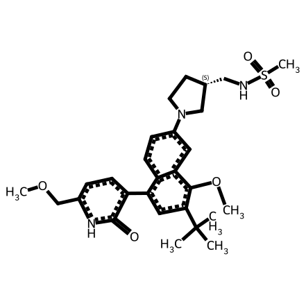 COCc1ccc(-c2cc(C(C)(C)C)c(OC)c3cc(N4CC[C@H](CNS(C)(=O)=O)C4)ccc23)c(=O)[nH]1